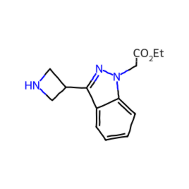 CCOC(=O)Cn1nc(C2CNC2)c2ccccc21